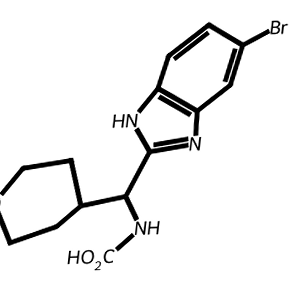 O=C(O)NC(c1nc2cc(Br)ccc2[nH]1)C1CCOCC1